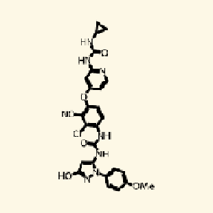 COc1ccc(-n2nc(O)cc2NC(=O)Nc2ccc(Oc3ccnc(NC(=O)NC4CC4)c3)c(C#N)c2Cl)cc1